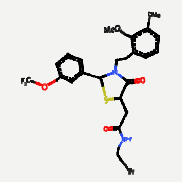 COc1cccc(CN2C(=O)C(CC(=O)NCC(C)C)SC2c2cccc(OC(F)(F)F)c2)c1OC